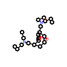 c1ccc(-c2ccc(N(c3ccc(-c4ccc(-c5cccc(-c6ccc7oc8ccc(-c9cc(-c%10ccc(N(c%11ccc(-c%12cccc%13ccccc%12%13)cc%11)c%11ccccc%11-c%11ccccc%11)cc%10)ccc9-c9ccccc9)cc8c7c6)c5)c(-c5ccc6oc7ccccc7c6c5)c4)cc3)c3ccc(-c4cccc5ccccc45)cc3)cc2)cc1